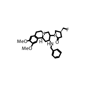 COc1cc2c(cc1OC)[C@@H]1C[C@H](NCc3ccccc3)C(N3C[C@@H](CF)CC3=O)CN1CC2